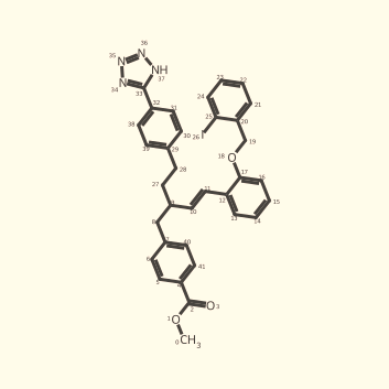 COC(=O)c1ccc(CC(/C=C/c2ccccc2OCc2ccccc2I)CCc2ccc(-c3nnn[nH]3)cc2)cc1